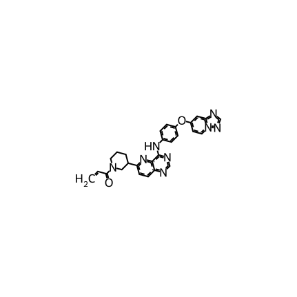 C=CC(=O)N1CCCC(c2ccc3ncnc(Nc4ccc(Oc5ccn6ncnc6c5)cc4)c3n2)C1